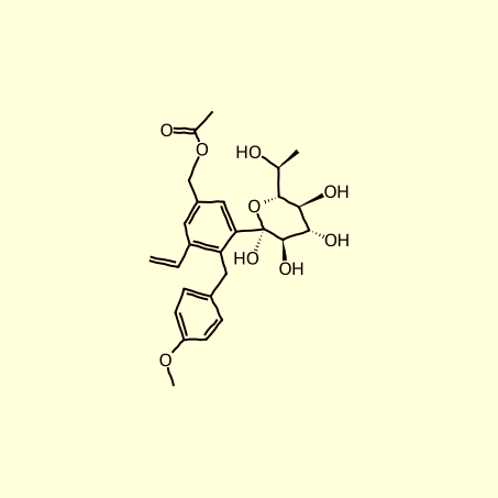 C=Cc1cc(COC(C)=O)cc([C@@]2(O)O[C@H]([C@H](C)O)[C@@H](O)[C@H](O)[C@H]2O)c1Cc1ccc(OC)cc1